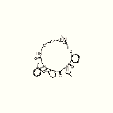 CC(C)C[C@H]1NC(=O)c2ccccc2OCc2cn(nn2)CCCCCNC(=O)[C@H](Cc2ccccc2)N(C)C(=O)[C@H]2CCCN2C1=O